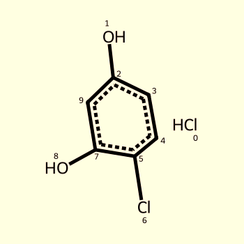 Cl.Oc1ccc(Cl)c(O)c1